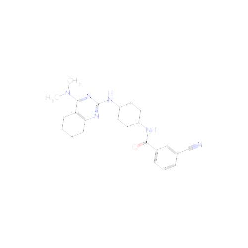 CN(C)c1nc(NC2CCC(NC(=O)c3cccc(C#N)c3)CC2)nc2c1CCCC2